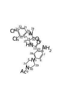 CC(=O)N1CCN(c2ccc(N)c(C(=O)NC(C)C(=O)N(C)c3ccc(Cl)c(Cl)c3)c2)CC1